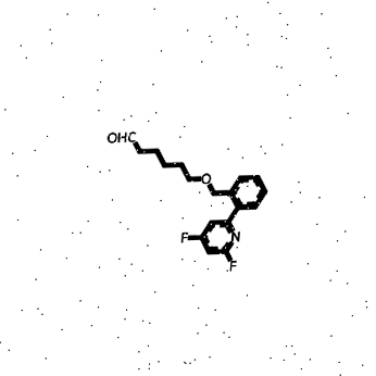 O=CCCCCCOCc1ccccc1-c1cc(F)cc(F)n1